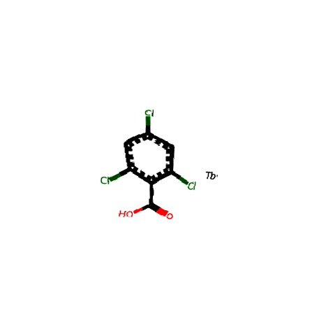 O=C(O)c1c(Cl)cc(Cl)cc1Cl.[Tb]